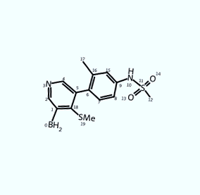 Bc1cncc(-c2ccc(NS(C)(=O)=O)cc2C)c1SC